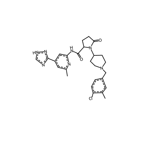 Cc1cc(-c2nc[nH]n2)cc(NC(=O)C2CCC(=O)N2C2CCN(Cc3ccc(Cl)c(C)c3)CC2)n1